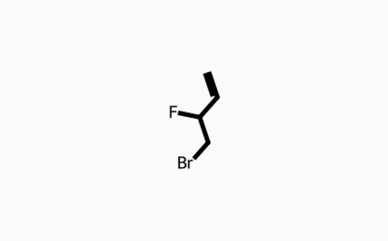 C=CC(F)CBr